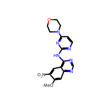 COc1cc2ncnc(Nc3nccc(N4CCOCC4)n3)c2cc1[N+](=O)[O-]